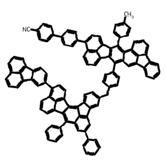 Cc1ccc(-c2c3c(cc4c5ccccc5c5cccc3c54)c(-c3ccc(Cc4ccc5c(c4)c4cc(-c6ccccc6)cc6c(-c7ccccc7)c7c8cccc9c(-c%10ccc%11c(c%10)-c%10cccc%12cccc-%11c%10%12)ccc(c98)c7c5c64)cc3)c3c4cccc5c(-c6ccc(-c7ccc(C#N)cc7)cc6)ccc(c23)c54)cc1